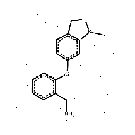 CB1OCc2ccc(Oc3ccccc3CN)cc21